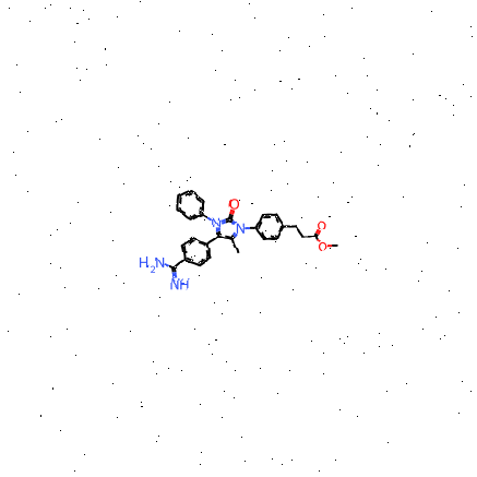 COC(=O)CCc1ccc(-n2c(C)c(-c3ccc(C(=N)N)cc3)n(-c3ccccc3)c2=O)cc1